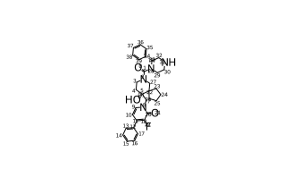 O=C(N1CC[C@@](O)(Cn2ccc(-c3ccccc3)c(F)c2=O)C2(CCCC2)C1)N1CCNC[C@H]1c1ccccc1